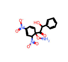 NOC1(C(=O)C(O)c2ccccc2)C=CC([N+](=O)[O-])=CC1[N+](=O)[O-]